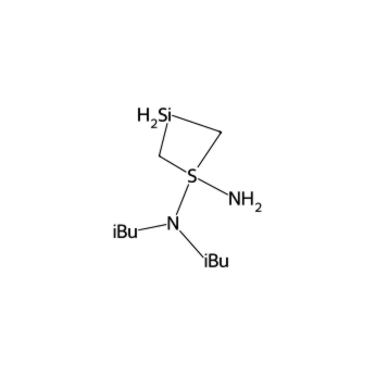 CCC(C)N(C(C)CC)S1(N)C[SiH2]C1